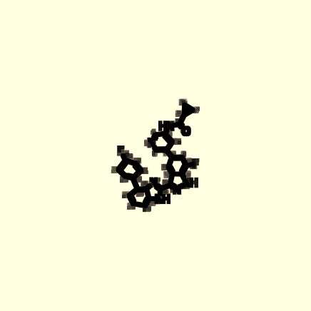 O=C(Nc1cncc(-c2cc(F)c3[nH]nc(-c4nc5c(-c6ccc(F)cc6)cccc5[nH]4)c3c2)c1)C1CC1